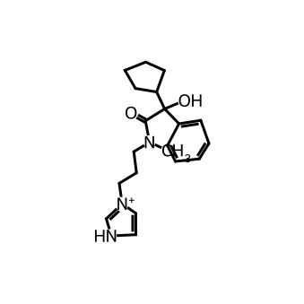 CN(CCC[n+]1cc[nH]c1)C(=O)C(O)(c1ccccc1)C1CCCC1